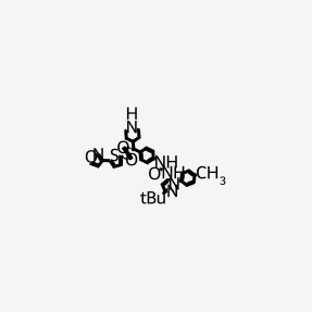 Cc1ccc(-n2nc(C(C)(C)C)cc2NC(=O)Nc2ccc(C(C3CCNCC3)S(=O)(=O)c3ccc(-c4ccon4)s3)cc2)cc1